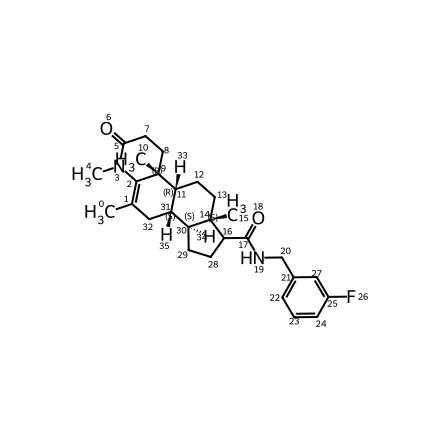 CC1=C2N(C)C(=O)CC[C@]2(C)[C@@H]2CC[C@]3(C)C(C(=O)NCc4cccc(F)c4)CC[C@H]3[C@@H]2C1